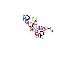 COc1cccc(OC)c1S(=O)(=O)Nc1noc2cc(Oc3cccnn3)cc(OC(F)F)c12